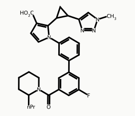 CCCC1CCCCN1C(=O)c1cc(F)cc(-c2cccc(-n3ccc(C(=O)O)c3C3CC3c3cn(C)nn3)c2)c1